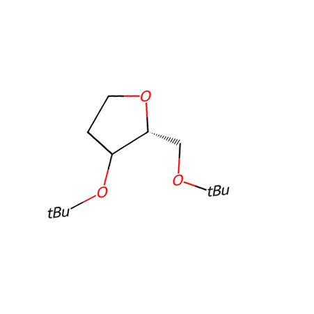 CC(C)(C)OC[C@H]1OCCC1OC(C)(C)C